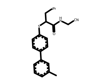 Cc1cccc(-c2ccc(SC(CC(C)C)C(=O)NCC#N)cc2)c1